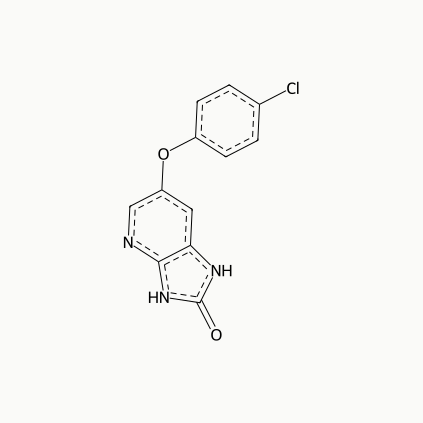 O=c1[nH]c2cc(Oc3ccc(Cl)cc3)cnc2[nH]1